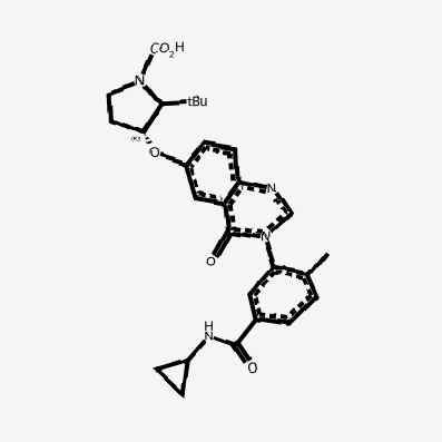 Cc1ccc(C(=O)NC2CC2)cc1-n1cnc2ccc(O[C@@H]3CCN(C(=O)O)C3C(C)(C)C)cc2c1=O